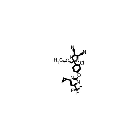 CCOCC1(c2ccc(Oc3nc(C4CC4)cc(C(F)(F)F)n3)cc2Cl)N=C(C#N)C(C#N)=N1